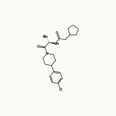 CC[C@@H](C)[C@@H](NC(=O)CC1CCCC1)C(=O)N1CCC(c2ccc(Cl)cc2)CC1